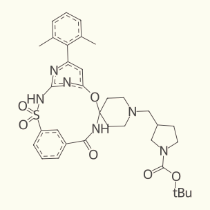 Cc1cccc(C)c1-c1cc2nc(n1)NS(=O)(=O)c1cccc(c1)C(=O)NC1(CCN(CC3CCN(C(=O)OC(C)(C)C)C3)CC1)O2